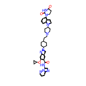 O=C1CCN(c2cccc3c2ccn3C2CCN(CCC3CCC(n4cc5cc(C(=O)Nc6cnc7cccnn67)c(OC6CC6)cc5n4)CC3)CC2)C(=O)N1